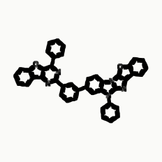 c1ccc(-c2nc(-c3cccc(-c4ccc5c(c4)n(-c4ccccc4)c4nc6c7ccccc7oc6n54)c3)nc3c2oc2ccccc23)cc1